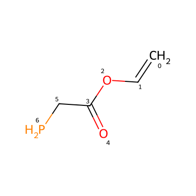 C=COC(=O)CP